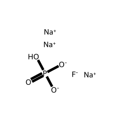 O=P([O-])([O-])O.[F-].[Na+].[Na+].[Na+]